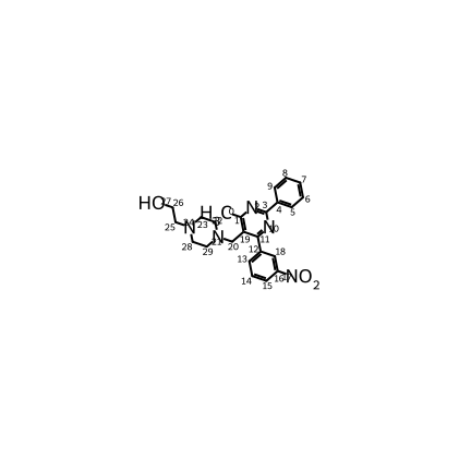 Cc1nc(-c2ccccc2)nc(-c2cccc([N+](=O)[O-])c2)c1CN1CCN(CCO)CC1